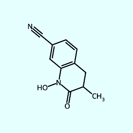 CC1Cc2ccc(C#N)cc2N(O)C1=O